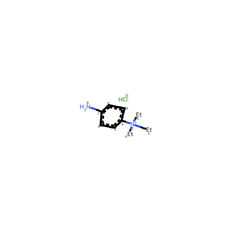 CC[N+](CC)(CC)c1ccc(N)cc1.Cl